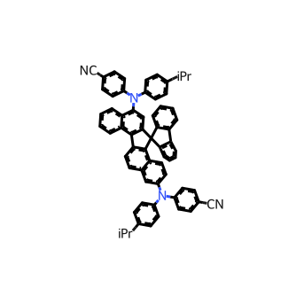 CC(C)c1ccc(N(c2ccc(C#N)cc2)c2ccc3c4c(ccc3c2)-c2c(cc(N(c3ccc(C#N)cc3)c3ccc(C(C)C)cc3)c3ccccc23)C42c3ccccc3-c3ccccc32)cc1